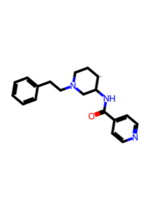 O=C(NC1[CH]CCN(CCc2ccccc2)C1)c1ccncc1